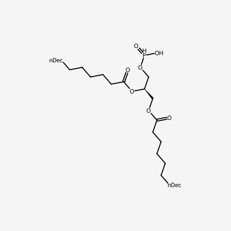 CCCCCCCCCCCCCCCC(=O)OC[C@H](CO[PH](=O)O)OC(=O)CCCCCCCCCCCCCCC